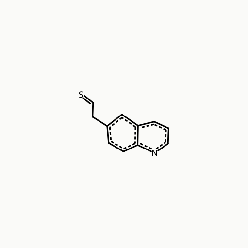 S=CCc1ccc2ncccc2c1